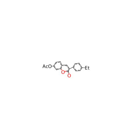 CCc1ccc(-c2cc3ccc(OC(C)=O)cc3oc2=O)cc1